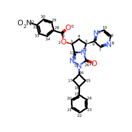 O=C(O[C@H]1C[C@@H](c2cnccn2)n2c1nn(C1CC(c3ccccc3)C1)c2=O)c1ccc([N+](=O)[O-])cc1